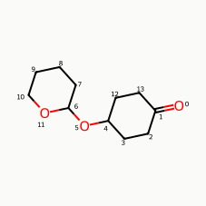 O=C1CCC(OC2CCCCO2)CC1